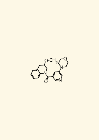 COC1Cc2ccccc2N(C(=O)c2cncc(N3CCOCC3)c2)C1